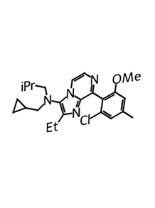 CCc1nc2c(-c3c(Cl)cc(C)cc3OC)nccn2c1N(CC(C)C)CC1CC1